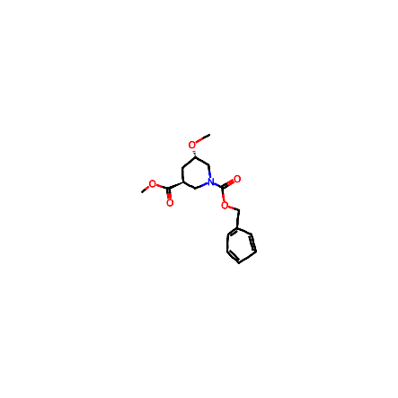 COC(=O)[C@H]1C[C@H](OC)CN(C(=O)OCc2ccccc2)C1